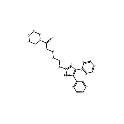 O=C(CCCCSc1nc(-c2ccccc2)c(-c2ccccc2)[nH]1)N1CCOCC1